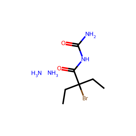 CCC(Br)(CC)C(=O)NC(N)=O.N.N